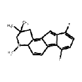 CN1CC(C)(C)CC2=C3C=c4c(F)ccc(F)c4=C3C=CC21